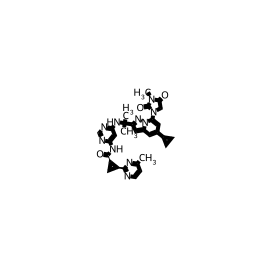 Cc1ccnc([C@H]2C[C@@H]2C(=O)Nc2cc(NC(C)(C)c3cc4cc(C5CC5)cc(N5CC(=O)N(C)C5=O)n4n3)ncn2)n1